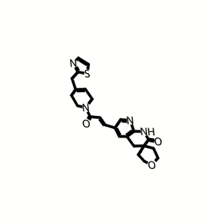 O=C(C=Cc1cnc2c(c1)CC1(CCOCC1)C(=O)N2)N1CC=C(Cc2nccs2)CC1